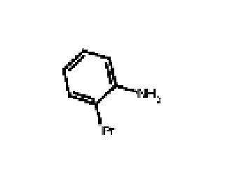 CC(C)c1cc[c]cc1N